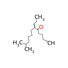 C#CCCCC(=O)/C(=C\CC)CCCCC(C)C